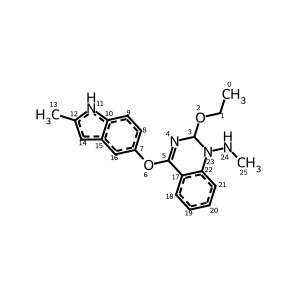 CCOC1N=C(Oc2ccc3[nH]c(C)cc3c2)c2ccccc2N1NC